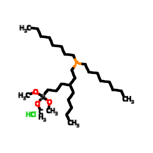 CCCCCCCCP(CCCCCCCC)CCC(CCCCC)CCC[Si](OC)(OC)OC.Cl